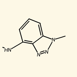 CNc1cccc2c1nnn2C